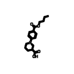 CCCCOC(=O)c1ccc(N2CCCC(C(=O)O)C2)cc1